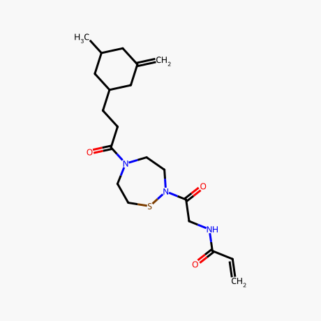 C=CC(=O)NCC(=O)N1CCN(C(=O)CCC2CC(=C)CC(C)C2)CCS1